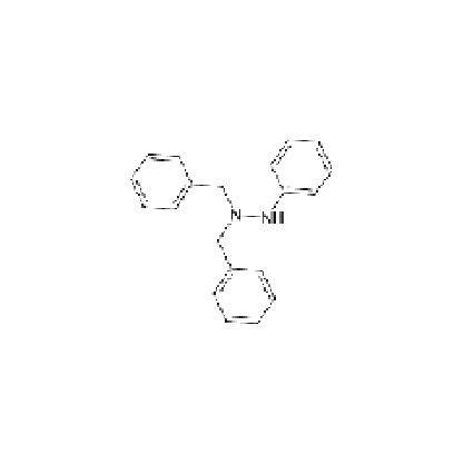 c1ccc(CN(Cc2ccccc2)Nc2ccccc2)cc1